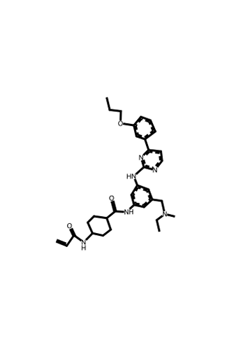 C=CC(=O)NC1CCC(C(=O)Nc2cc(CN(C)CC)cc(Nc3nccc(-c4cccc(OCCC)c4)n3)c2)CC1